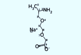 CC(N)COCCOCC(=O)[O-].[Na+]